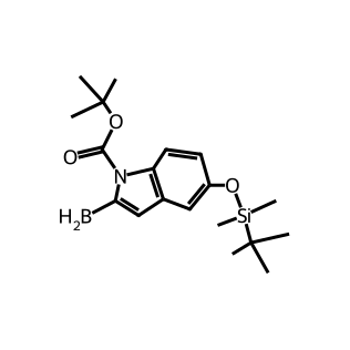 Bc1cc2cc(O[Si](C)(C)C(C)(C)C)ccc2n1C(=O)OC(C)(C)C